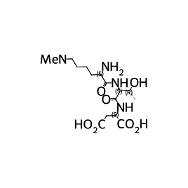 CNCCCC[C@H](N)C(=O)N[C@H](C(=O)N[C@@H](CC(=O)O)C(=O)O)[C@@H](C)O